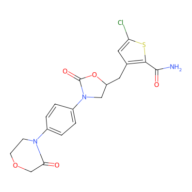 NC(=O)c1sc(Cl)cc1CC1CN(c2ccc(N3CCOCC3=O)cc2)C(=O)O1